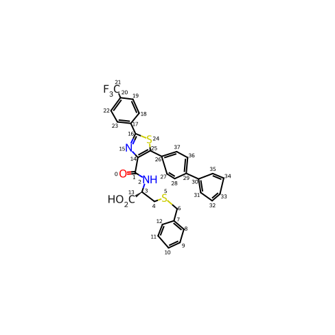 O=C(N[C@@H](CSCc1ccccc1)C(=O)O)c1nc(-c2ccc(C(F)(F)F)cc2)sc1-c1ccc(-c2ccccc2)cc1